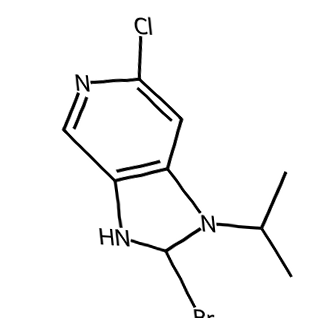 CC(C)N1c2cc(Cl)ncc2NC1Br